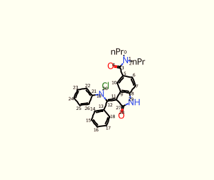 CCCN(CCC)C(=O)c1ccc2c(c1)C(=C(c1ccccc1)N(Cl)c1ccccc1)C(=O)N2